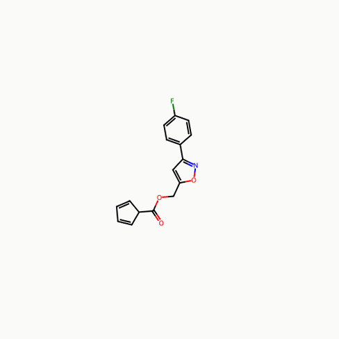 O=C(OCc1cc(-c2ccc(F)cc2)no1)C1C=CC=C1